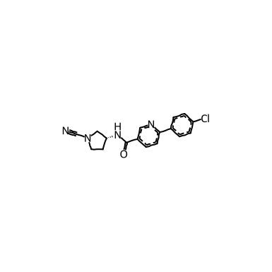 N#CN1CC[C@@H](NC(=O)c2ccc(-c3ccc(Cl)cc3)nc2)C1